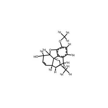 [2H]c1c([2H])c2c3c(c1OC([2H])([2H])[2H])OC1([2H])C([2H])(O)C=C[C@@]4([2H])[C@H](N(C([2H])([2H])[2H])CC[C@]314)C2([2H])[2H]